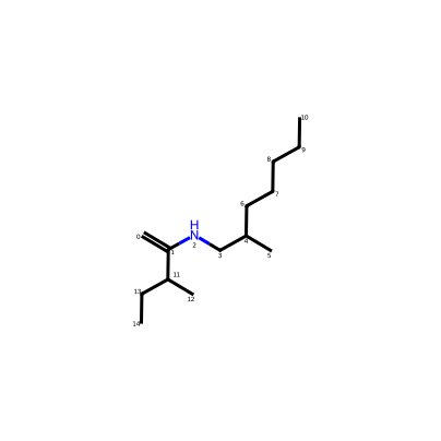 C=C(NCC(C)CCCCC)C(C)CC